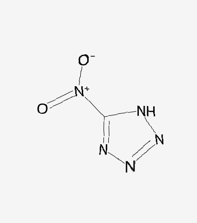 O=[N+]([O-])c1nnn[nH]1